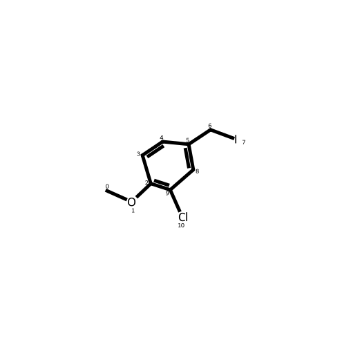 COc1ccc(CI)cc1Cl